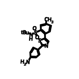 Cc1ccc(-c2cnc(-c3ccc(N)cc3)s2)c(S(=O)(=O)NC(C)(C)C)c1